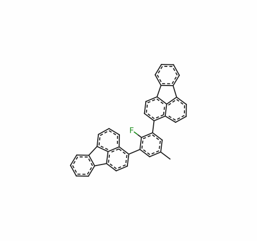 Cc1cc(-c2ccc3c4c(cccc24)-c2ccccc2-3)c(F)c(-c2ccc3c4c(cccc24)-c2ccccc2-3)c1